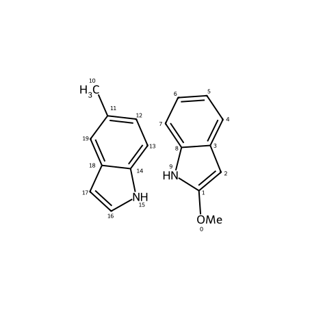 COc1cc2ccccc2[nH]1.Cc1ccc2[nH]ccc2c1